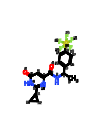 C[C@@H](NC(=O)c1cc(=O)[nH]c(C2CC2)n1)c1ccc(S(F)(F)(F)(F)F)cc1